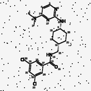 CN(C)c1ccnc(N[C@H]2CC[C@@H](CNC(=O)c3cc(Cl)cc(Cl)c3)CC2)n1